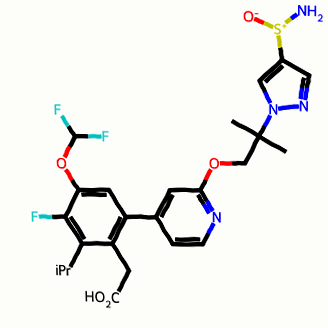 CC(C)c1c(F)c(OC(F)F)cc(-c2ccnc(OCC(C)(C)n3cc([S+](N)[O-])cn3)c2)c1CC(=O)O